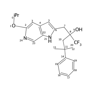 CC(C)Oc1cc2cc(CC(O)(CC(C)(C)c3ccccc3)C(F)(F)F)[nH]c2cn1